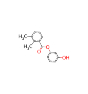 Cc1cccc(C(=O)Oc2cccc(O)c2)c1C